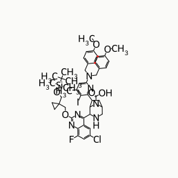 COc1ccc(CN(Cc2ccc(OC)cc2)c2cc(C)c(I)c(C3CC4CNC(c5nc(OCC6(CO[Si](C)(C)C(C)(C)C)CC6)nc6c(F)cc(Cl)cc56)C3N4C(=O)O)n2)cc1